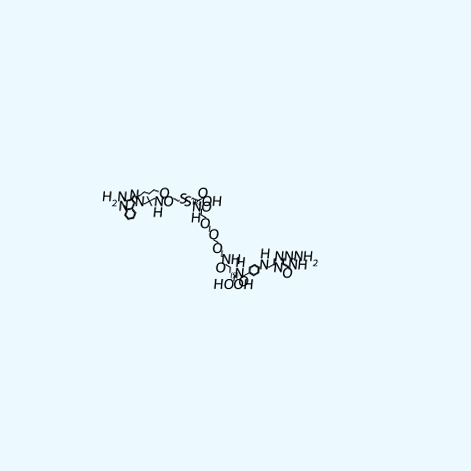 CCCCc1nc2c(N)nc3ccccc3c2n1CC(C)(C)CNC(=O)OCCSSC[C@H](NC(=O)CCOCCOCCOCCNC(=O)CC[C@H](NC(=O)c1ccc(NCc2cnc3nc(N)[nH]c(=O)c3n2)cc1)C(O)O)C(=O)O